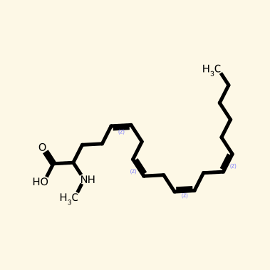 CCCCC/C=C\C/C=C\C/C=C\C/C=C\CCC(NC)C(=O)O